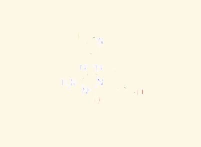 CCOc1nc(N)c2nc(-c3cncc(F)c3)n(CC3=CC(C)C(O)C=C3)c2n1